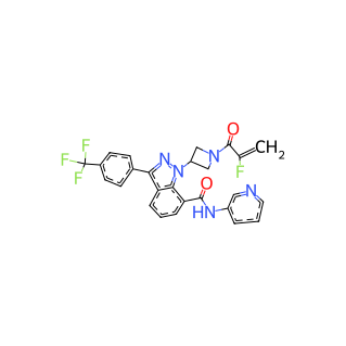 C=C(F)C(=O)N1CC(n2nc(-c3ccc(C(F)(F)F)cc3)c3cccc(C(=O)Nc4cccnc4)c32)C1